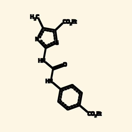 CCOC(=O)c1ccc(NC(=O)Nc2nc(C)c(C(=O)OCC)s2)cc1